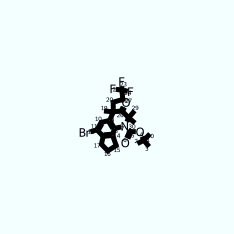 CC(C)(C)OC(=O)N1c2c(cc(Br)c3c2CCC3)C(C)(CCC(F)(F)F)C(=O)C1(C)C